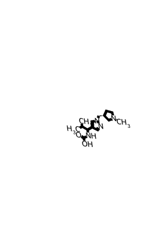 CC(C)C(NC(=O)O)c1cnn(C[C@@H]2CCN(C)C2)c1